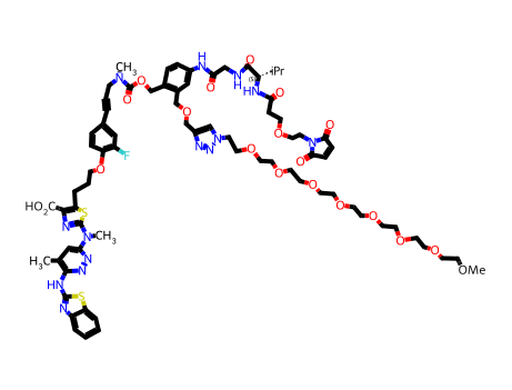 COCCOCCOCCOCCOCCOCCOCCOCCn1cc(COCc2cc(NC(=O)CNC(=O)[C@@H](NC(=O)CCOCCN3C(=O)C=CC3=O)C(C)C)ccc2COC(=O)N(C)CC#Cc2ccc(OCCCc3sc(N(C)c4cc(C)c(Nc5nc6ccccc6s5)nn4)nc3C(=O)O)c(F)c2)nn1